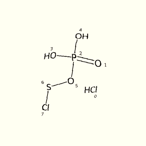 Cl.O=P(O)(O)OSCl